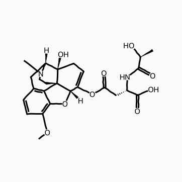 COc1ccc2c3c1O[C@H]1C(OC(=O)C[C@H](NC(=O)[C@H](C)O)C(=O)O)=CC[C@@]4(O)[C@@H](C2)N(C)CC[C@]314